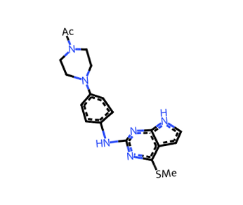 CSc1nc(Nc2ccc(N3CCN(C(C)=O)CC3)cc2)nc2[nH]ccc12